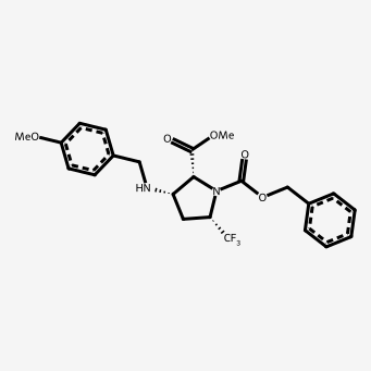 COC(=O)[C@H]1[C@@H](NCc2ccc(OC)cc2)C[C@@H](C(F)(F)F)N1C(=O)OCc1ccccc1